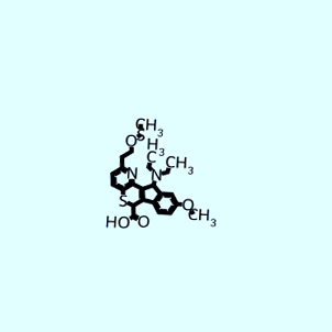 CCN(CC)C1C2=C(c3ccc(OC)cc31)C(C(=O)O)Sc1ccc(CCOSC)nc12